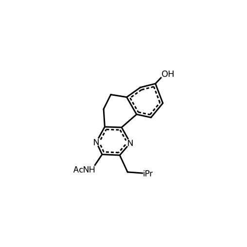 CC(=O)Nc1nc2c(nc1CC(C)C)-c1ccc(O)cc1CC2